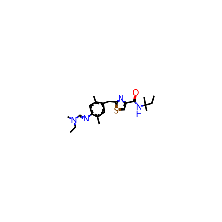 CCN(C)C=Nc1cc(C)c(Cc2nc(C(=O)NC(C)(C)CC)cs2)cc1C